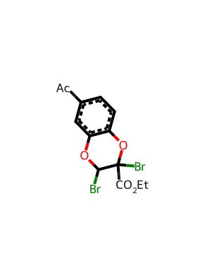 CCOC(=O)C1(Br)Oc2ccc(C(C)=O)cc2OC1Br